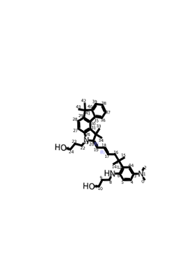 CN(C)c1ccc(NCCCO)c(C(C)(C)C/C=C/C=C2/N(CCCO)c3ccc4c(c3C2(C)C)-c2ccccc2C4(C)C)c1